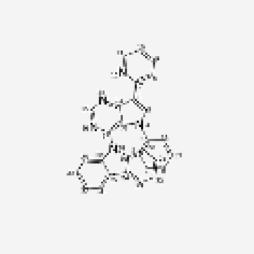 c1ccc(-n2cc(-c3ccccn3)c3ncnc(-n4c5ccccc5c5ccccc54)c32)cc1